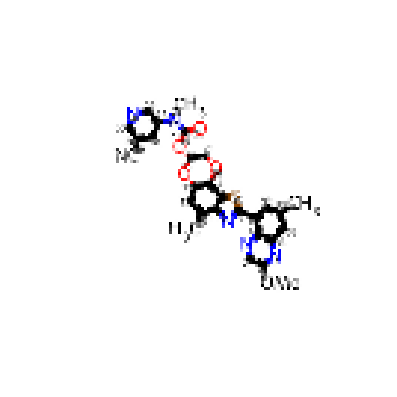 COc1cnc2c(-c3nc4c(C)cc5c(c4s3)OC[C@@H](OC(=O)N(C)c3cncc(C#N)c3)O5)cc(C)cc2n1